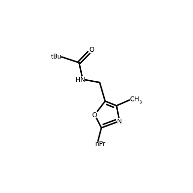 CCCc1nc(C)c(CNC(=O)C(C)(C)C)o1